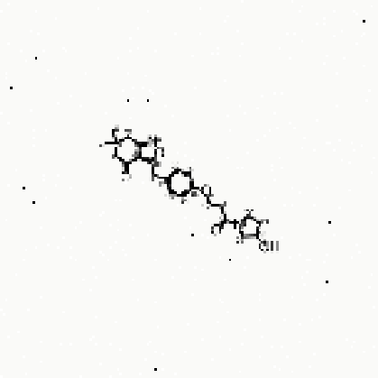 CC1(C)CC(=O)c2c(noc2Cc2ccc(OCCC(=O)N3CCC(O)C3)cc2)C1